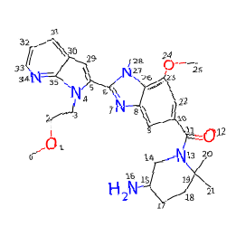 COCCn1c(-c2nc3cc(C(=O)N4CC(N)CCC4(C)C)cc(OC)c3n2C)cc2cccnc21